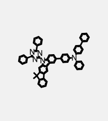 CC1(C)c2ccccc2-c2cc3c4cc(-c5ccc(N(c6ccccc6)c6ccc(-c7ccccc7)cc6)cc5)ccc4n(-c4nc(-c5ccccc5)nc(-c5ccccc5)n4)c3cc21